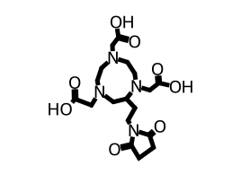 O=C(O)CN1CCN(CC(=O)O)CC(CCN2C(=O)CCC2=O)N(CC(=O)O)CC1